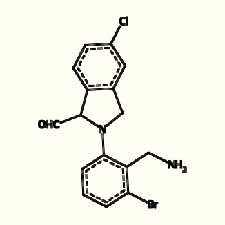 NCc1c(Br)cccc1N1Cc2cc(Cl)ccc2C1C=O